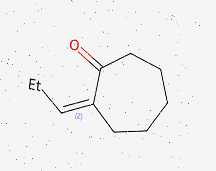 CC/C=C1/CCCCCC1=O